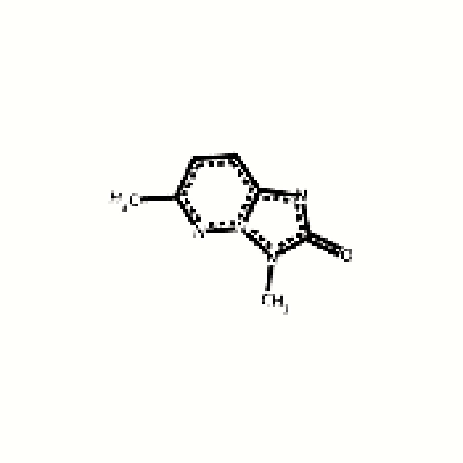 Cc1ccc2nc(=O)n(C)n2n1